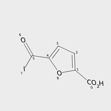 O=C(O)c1ccc(C(=O)I)o1